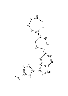 COc1nc(-c2c[nH]c3ncc([C@H]4CC[C@H](N5CCCOCC5)CC4)cc23)cs1